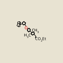 CCOC(=O)C=Cc1cc(C)c(-c2ccc(OCc3cccc(C45CC6CC(CC(C6)C4)C5)c3)cc2)c(C)c1